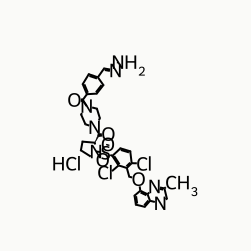 Cc1cnc2cccc(OCc3c(Cl)ccc(S(=O)(=O)N4CCC[C@H]4C(=O)N4CCN(C(=O)c5ccc(C=NN)cc5)CC4)c3Cl)c2n1.Cl